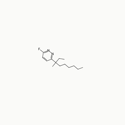 CCCCCCC(C)(CC)c1ccc(F)nn1